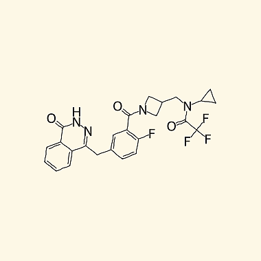 O=C(c1cc(Cc2n[nH]c(=O)c3ccccc23)ccc1F)N1CC(CN(C(=O)C(F)(F)F)C2CC2)C1